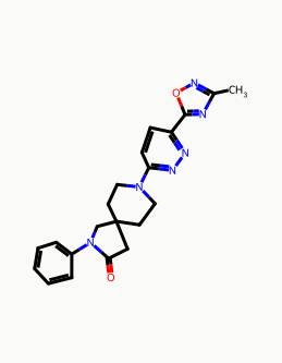 Cc1noc(-c2ccc(N3CCC4(CC3)CC(=O)N(c3ccccc3)C4)nn2)n1